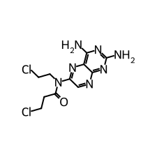 Nc1nc(N)c2nc(N(CCCl)C(=O)CCCl)cnc2n1